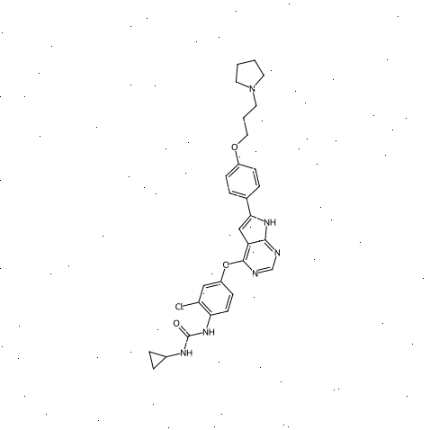 O=C(Nc1ccc(Oc2ncnc3[nH]c(-c4ccc(OCCCN5CCCC5)cc4)cc23)cc1Cl)NC1CC1